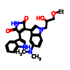 CCOCC(O)Cn1cc(C2=C(c3c[nH]c4ccccc34)C(=O)NC2=O)c2cc(N(C)C)ccc21